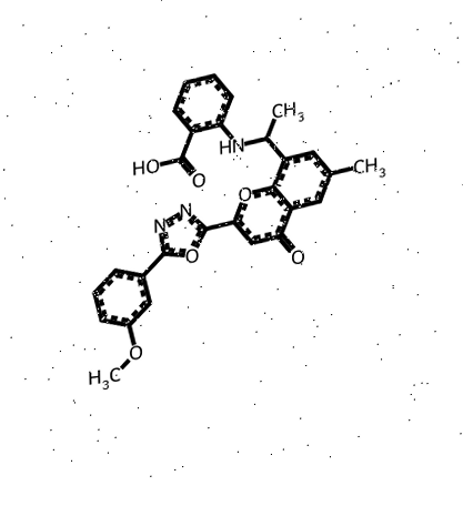 COc1cccc(-c2nnc(-c3cc(=O)c4cc(C)cc(C(C)Nc5ccccc5C(=O)O)c4o3)o2)c1